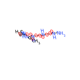 COc1ccc(NC(=O)c2cc(C3=CCCO3)n(C)n2)cc1C(=O)NCCOCCOCC(=O)NCCOCCOCC(=O)NCCCN